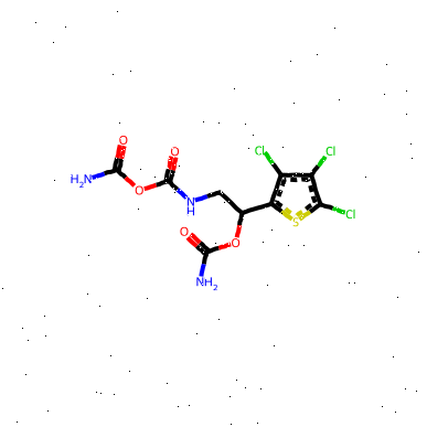 NC(=O)OC(=O)NCC(OC(N)=O)c1sc(Cl)c(Cl)c1Cl